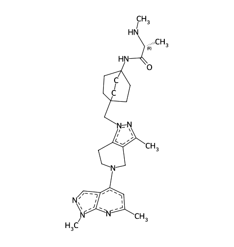 CN[C@H](C)C(=O)NC12CCC(Cn3nc(C)c4c3CCN(c3cc(C)nc5c3cnn5C)C4)(CC1)CC2